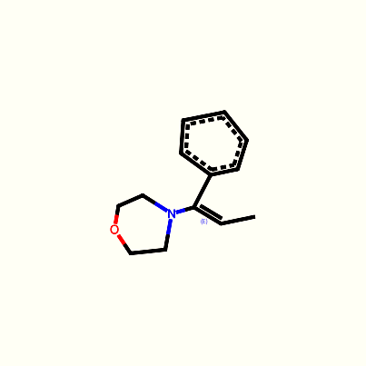 C/C=C(\c1ccccc1)N1CCOCC1